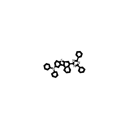 c1ccc(-c2nc(-c3ccccc3)nc(-c3cc4sc5ccc(N(c6ccccc6)c6ccccc6)cc5c4c4ccccc34)n2)cc1